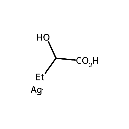 CCC(O)C(=O)O.[Ag]